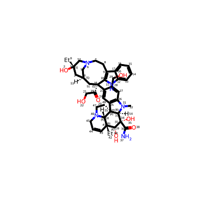 CC[C@]1(O)C[C@H]2CN(CCc3c([nH]c4ccccc34)[C@@](C(=O)CO)(c3cc4c(cc3CO)N(C)[C@H]3[C@@](O)(C(N)=O)[C@H](O)[C@]5(CC)C=CCN6CC[C@]43[C@@H]65)C2)C1